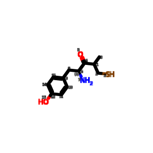 CC(CS)C(=O)[C@@H](N)Cc1ccc(O)cc1